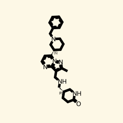 Cc1nn2c([C@H]3CCCN(Cc4ccccc4)C3)ccnc2c1CNC[C@H]1CCC(=O)NC1